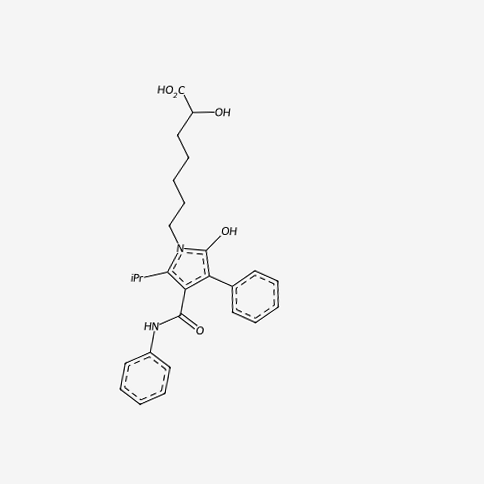 CC(C)c1c(C(=O)Nc2ccccc2)c(-c2ccccc2)c(O)n1CCCCCC(O)C(=O)O